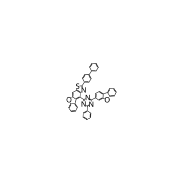 c1ccc(-c2ccc(-c3nc4c(-c5nc(-c6ccccc6)nc(-c6ccc7c(c6)oc6ccccc67)n5)c5c(cc4s3)oc3ccccc35)cc2)cc1